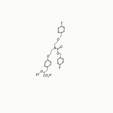 CCOC(Cc1ccc(OCCN(CCOCc2ccc(F)cc2)C(=O)OCc2ccc(F)cc2)cc1)C(=O)O